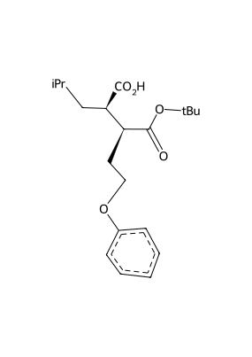 CC(C)C[C@@H](C(=O)O)[C@H](CCOc1ccccc1)C(=O)OC(C)(C)C